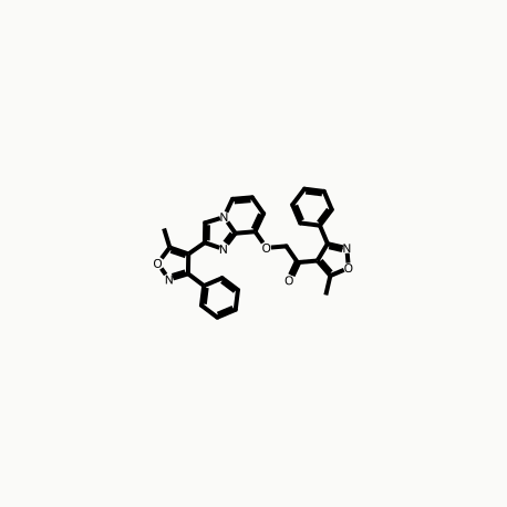 Cc1onc(-c2ccccc2)c1C(=O)COc1cccn2cc(-c3c(-c4ccccc4)noc3C)nc12